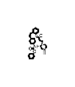 O=C(Nc1ccc2c(c1)N(C(=O)CCN1CCNCC1)c1ccccc1C=C2)Oc1ccccc1